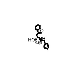 O=C(Cc1ccccc1)NC(Cc1coc2ccccc12)B(O)O